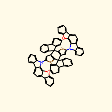 c1ccc2c(c1)-c1ccccc1C21c2cc(-n3c4ccccc4c4ccc5c6ccccc6oc5c43)sc2C2(c3ccccc3-c3ccccc32)c2cc(-n3c4ccccc4c4ccc5c6ccccc6oc5c43)sc21